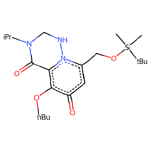 CCCCOc1c2n(c(CO[Si](C)(C)C(C)(C)C)cc1=O)NCN(C(C)C)C2=O